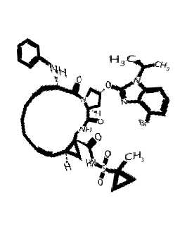 CC(C)n1c(O[C@@H]2C[C@H]3C(=O)N[C@]4(C(=O)NS(=O)(=O)C5(C)CC5)C[C@H]4/C=C\CCCCC[C@H](Nc4ccccc4)C(=O)N3C2)nc2c(Br)cccc21